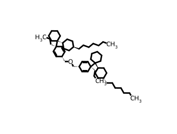 CCCCCCC[C@H]1CC[C@H](C2([C@]3(CCC)C=C[C@@H](COC[C@H]4C=C[C@](CCC)(C5([C@H]6CC[C@H](CCCCCCC)CC6)CCCCC5)C=C4)C=C3)CCCCC2)CC1